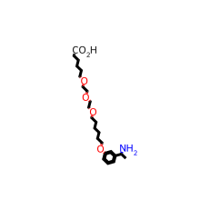 CC(N)c1cccc(OCCCCCCOCCOCCOCCCCCC(=O)O)c1